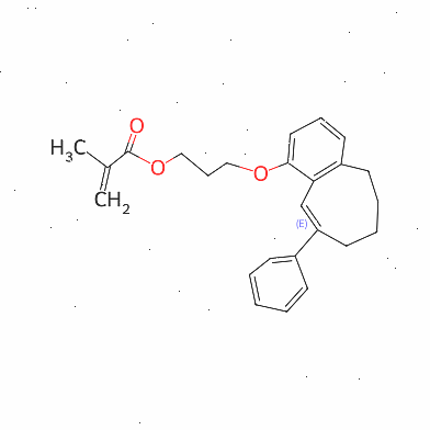 C=C(C)C(=O)OCCCOc1cccc2c1/C=C(/c1ccccc1)CCCC2